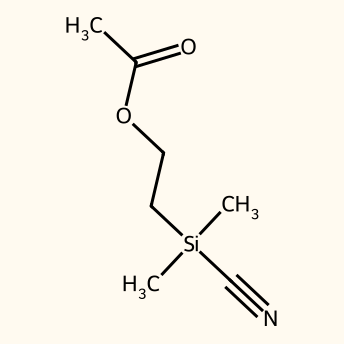 CC(=O)OCC[Si](C)(C)C#N